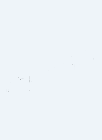 COc1ccc(NC(=O)c2ccc3[nH]c(CCCNC(=O)[C@@H](N)Cc4nccs4)cc3c2)cc1OC